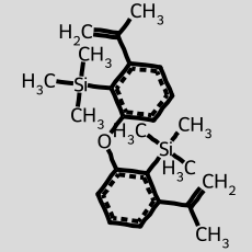 C=C(C)c1cccc(Oc2cccc(C(=C)C)c2[Si](C)(C)C)c1[Si](C)(C)C